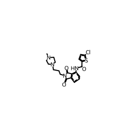 CN1CCN(CCCN2C(=O)c3cccc(NC(=O)c4ccc(Cl)s4)c3C2=O)CC1